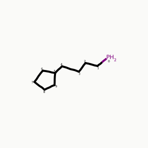 PCCCCC1CCCC1